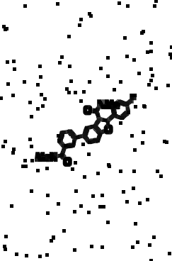 CNC(=O)c1cccc(-c2ccc3c(c2)C(C(=O)NC)C(c2ccc(F)cc2)O3)c1